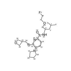 CC(C)CC(COCCF)NC(=O)c1ccc(N2CCCC2)c(OCC2COC2)n1